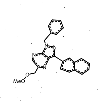 COOCc1cnc2c(n1)c(-c1ccc3ccccc3c1)nn2Cc1ccccc1